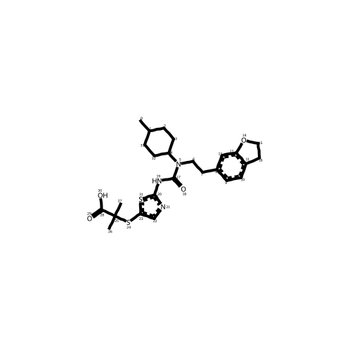 CC1CCC(N(CCc2ccc3c(c2)OCC3)C(=O)Nc2ncc(SC(C)(C)C(=O)O)s2)CC1